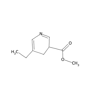 CCC1=CN=CC(C(=O)OC)C1